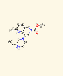 CC(C)CC1CN(C2CN(C(=O)OC(C)(C)C)Cc3ccc(C#N)nc32)CCN1